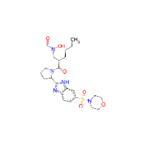 CCCCC(CN(O)C=O)C(=O)N1CCCC1c1nc2ccc(S(=O)(=O)N3CCOCC3)cc2[nH]1